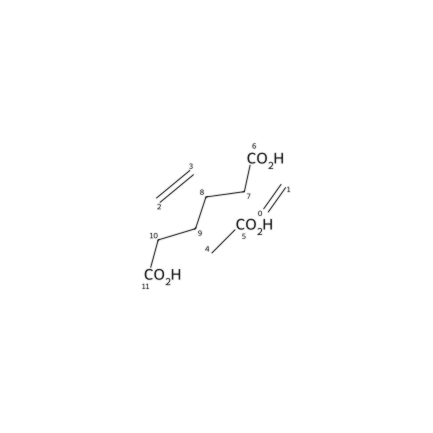 C=C.C=C.CC(=O)O.O=C(O)CCCCC(=O)O